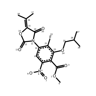 COC(=O)c1c([N+](=O)[O-])cc(N2C(=O)OC(=C(C)C)C2=O)c(F)c1OCC(C)C